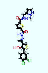 C/C(=N\NC(=O)c1ccc(C(=O)NCC2CC=NN2C)s1)c1csc(-c2ccc(Cl)c(Cl)c2)c1O